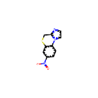 O=[N+]([O-])c1ccc2c(c1)SCc1nccn1-2